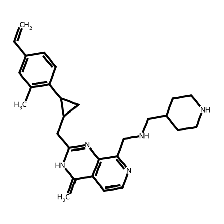 C=Cc1ccc(C2CC2CC2=Nc3c(ccnc3CNCC3CCNCC3)C(=C)N2)c(C)c1